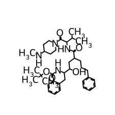 CNC1CCN(C(=O)C(NC(=O)C(CCCc2ccccc2)CC(O)C(Cc2ccccc2)NC(=O)OC(C)(C)C)C(C)C)CC1